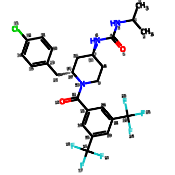 CC(C)NC(=O)N[C@H]1CCN(C(=O)c2cc(C(F)(F)F)cc(C(F)(F)F)c2)[C@H](Cc2ccc(Cl)cc2)C1